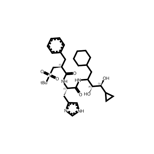 CC(C)(C)S(=O)(=O)C[C@@H](Cc1ccccc1)C(=O)N[C@@H](Cc1c[nH]cn1)C(=O)NC(CC1CCCCC1)[C@@H](O)[C@@H](O)C1CC1